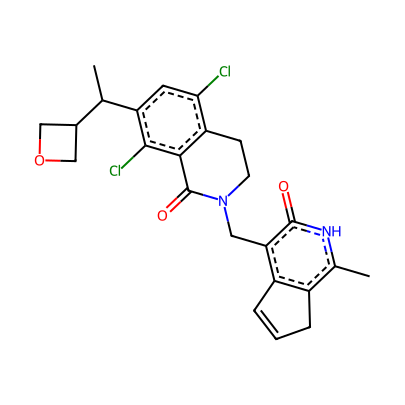 Cc1[nH]c(=O)c(CN2CCc3c(Cl)cc(C(C)C4COC4)c(Cl)c3C2=O)c2c1CC=C2